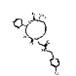 N[C@@H]1CC=CC[C@@H](CC(=O)NCc2ccc(Cl)cc2)C(=O)NC[C@@H](c2ccccc2)OC1=O